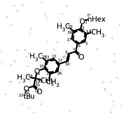 CCCCCCOc1c(C)cc(C(=O)/C=C/c2cc(C)c(OC(C)(C)C(=O)OC(C)(C)C)c(C)c2)cc1C